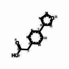 O=C(O)Cc1ccc(-c2ccoc2)cc1